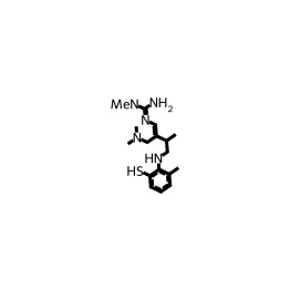 CN/C(N)=N/C=C(\CN(C)C)C(C)CNc1c(C)cccc1S